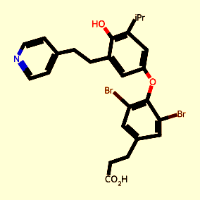 CC(C)c1cc(Oc2c(Br)cc(CCC(=O)O)cc2Br)cc(CCc2ccncc2)c1O